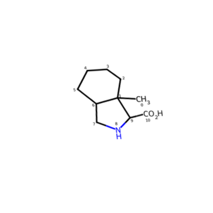 CC12CCCCC1CNC2C(=O)O